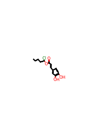 CCCCC(Cl)OC(=O)/C=C/c1ccc(O)c(O)c1